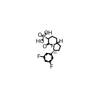 O=C1C(P(=O)(O)O)CC[C@@H]2CC[C@@H](c3cc(F)cc(F)c3)N12